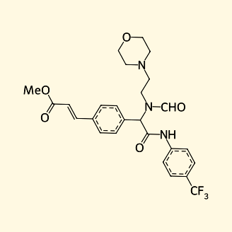 COC(=O)C=Cc1ccc(C(C(=O)Nc2ccc(C(F)(F)F)cc2)N(C=O)CCN2CCOCC2)cc1